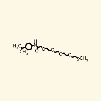 CSCCOCCOCCOCCOCC(=O)NC1CCC(C(C)C)CC1